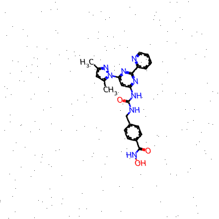 Cc1cc(C)n(-c2cc(NC(=O)NCc3ccc(C(=O)NO)cc3)nc(-c3ccccn3)n2)n1